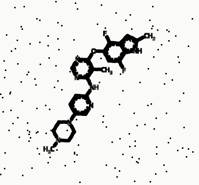 Cc1cc2c(F)c(Oc3ncnc(Nc4ccc(N5CCN(C)CC5)cn4)c3C)cc(F)c2[nH]1